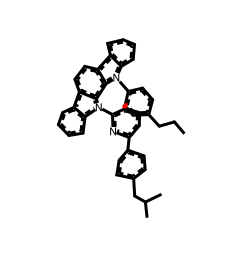 CCCc1ccc(-n2c3ccccc3c3ccc4c5ccccc5n(-c5cccc(-c6ccc(CC(C)C)cc6)n5)c4c32)cc1